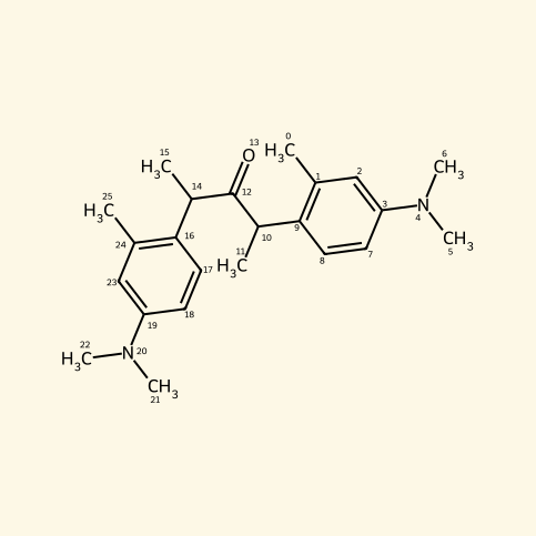 Cc1cc(N(C)C)ccc1C(C)C(=O)C(C)c1ccc(N(C)C)cc1C